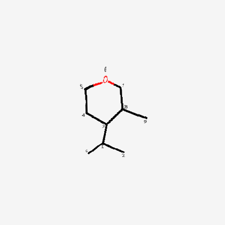 CC(C)C1CCOCC1C